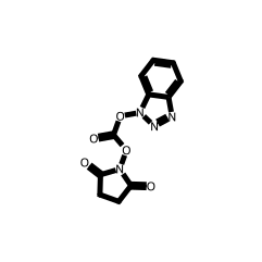 O=C(ON1C(=O)CCC1=O)On1nnc2ccccc21